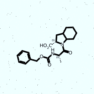 C[C@H](NC(=O)OCc1ccccc1)C(=O)N1C2CCCCC2C[C@H]1C(=O)O